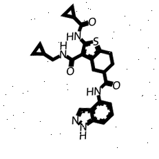 O=C(NCC1CC1)c1c(NC(=O)C2CC2)sc2c1CC(C(=O)Nc1cccc3[nH]ncc13)CC2